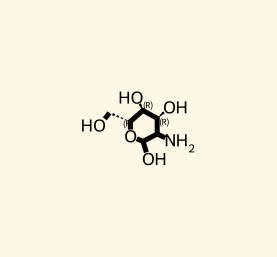 NC1C(O)O[C@H](CO)[C@H](O)[C@@H]1O